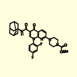 COC(=O)N1CCN(c2ccc3c(=O)c(C(=O)NC45CC6CC(CC(C6)C4)C5)cn(-c4ccc(F)cc4F)c3n2)CC1